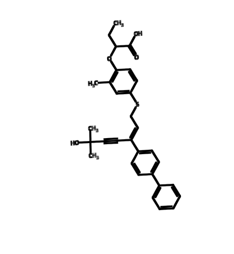 CCC(Oc1ccc(SCC=C(C#CC(C)(C)O)c2ccc(-c3ccccc3)cc2)cc1C)C(=O)O